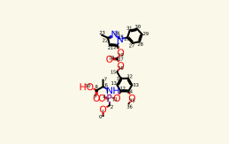 COCP(=O)(NC(C)C(=O)O)Oc1cc(COC(=O)Oc2cc(C)nn2-c2ccccc2)ccc1OC